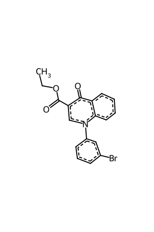 CCOC(=O)c1cn(-c2cccc(Br)c2)c2ccccc2c1=O